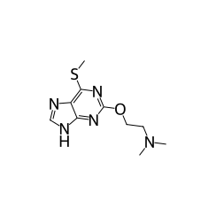 CSc1nc(OCCN(C)C)nc2[nH]cnc12